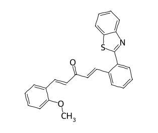 COc1ccccc1C=CC(=O)C=Cc1ccccc1-c1nc2ccccc2s1